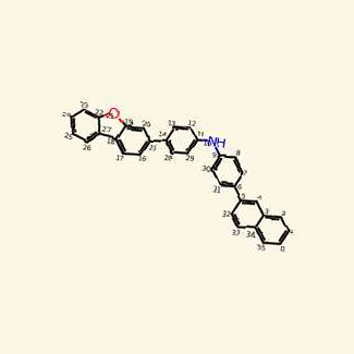 c1ccc2cc(-c3ccc(Nc4ccc(-c5ccc6c(c5)oc5ccccc56)cc4)cc3)ccc2c1